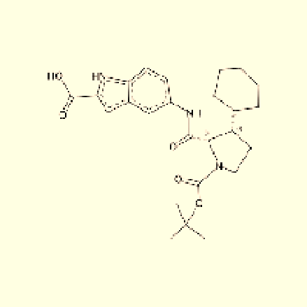 CC(C)(C)OC(=O)N1CC[C@@H](C2CCCCC2)[C@H]1C(=O)Nc1ccc2[nH]c(C(=O)O)cc2c1